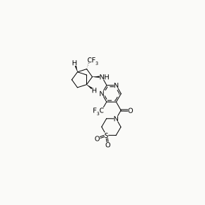 O=C(c1cnc(N[C@H]2[C@@H]3CC[C@@H](C3)[C@@H]2C(F)(F)F)nc1C(F)(F)F)N1CCS(=O)(=O)CC1